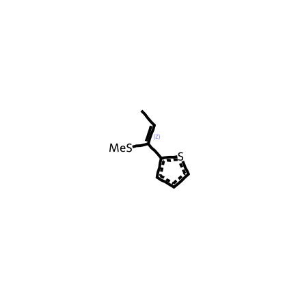 C/C=C(\SC)c1cccs1